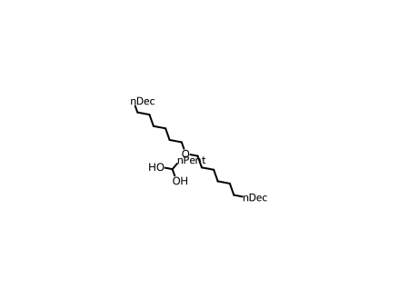 CCCCCC(O)O.CCCCCCCCCCCCCCCCOCCCCCCCCCCCCCCCC